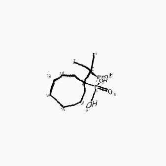 CCCC(C)C(C)(C)C1(P(=O)(O)O)CCCCC1